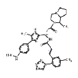 Cc1ccc(-n2cnnn2)c(/C=C/C(=O)N[C@@H](CC(=O)N2CCN3CCCC3C2C)c2nc(-c3ccc(NC=O)cc3)c(C)[nH]2)c1